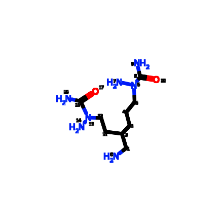 NCC(CCCN(N)C(N)=O)CCN(N)C(N)=O